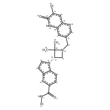 CCNC(=O)c1ccc2c(ccn2[C@H]2CN(Cc3cnc4cc(CC)c(=O)[nH]c4c3)C2(C)C)n1